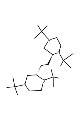 CC(C)(C)N1CCN(C(C)(C)C)[C@@H](CC[C@H]2CN(C(C)(C)C)CCN2C(C)(C)C)C1